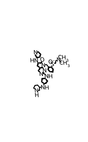 CN(C)CC[S+]([O-])c1ccccc1Cn1c(=O)c(Nc2cccnc2)cc2cnc(Nc3ccc(NC4CCCNC4)cc3)nc21